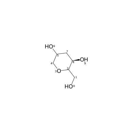 OCC1OCC(O)C[C@H]1O